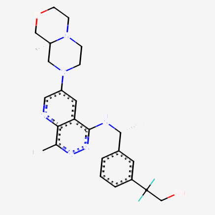 Cc1nnc(N[C@H](C)c2cccc(C(F)(F)CO)c2)c2cc(N3CCN4CCOC[C@@H]4C3)cnc12